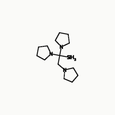 [SiH3]C(CN1CCCC1)(N1CCCC1)N1CCCC1